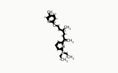 CCN(CC)c1cccc(C(C)CCC(C)CCOc2ccc(C)cn2)n1